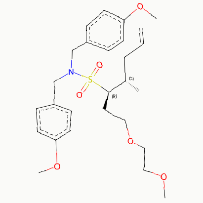 C=CC[C@H](C)[C@@H](CCOCCOC)S(=O)(=O)N(Cc1ccc(OC)cc1)Cc1ccc(OC)cc1